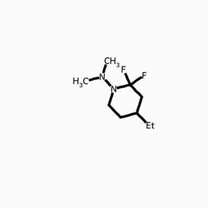 CCC1CCN(N(C)C)C(F)(F)C1